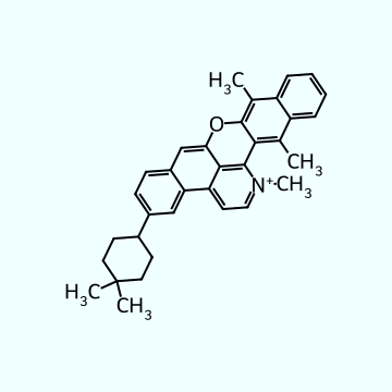 Cc1c2c(c(C)c3ccccc13)-c1c3c(cc4ccc(C5CCC(C)(C)CC5)cc4c3cc[n+]1C)O2